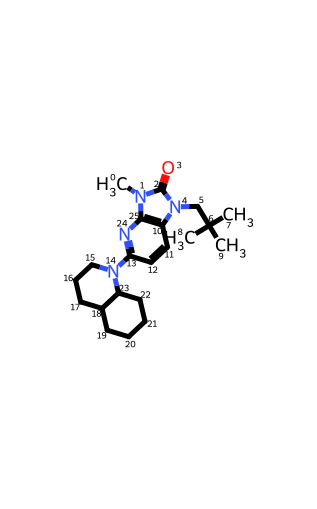 Cn1c(=O)n(CC(C)(C)C)c2ccc(N3CCCC4CCCCC43)nc21